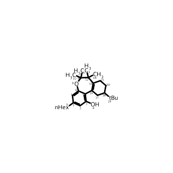 CCCCCCc1cc(O)c2c(c1)OC(C)(C)C(C)(C)C1=C2CC(C(C)(C)C)CC1